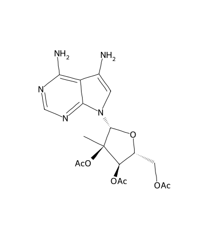 CC(=O)OC[C@H]1O[C@@H](n2cc(N)c3c(N)ncnc32)[C@](C)(OC(C)=O)[C@@H]1OC(C)=O